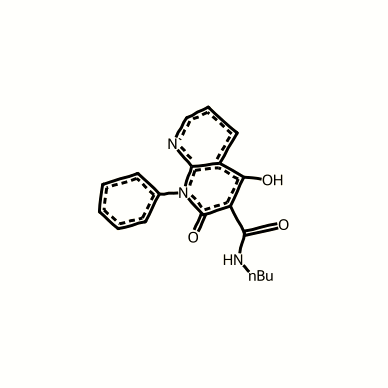 CCCCNC(=O)c1c(O)c2cccnc2n(-c2ccccc2)c1=O